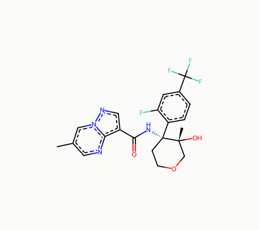 Cc1cnc2c(C(=O)N[C@@]3(c4ccc(C(F)(F)F)cc4F)CCOC[C@@]3(C)O)cnn2c1